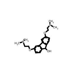 CN(C)CCOc1ccc2c(c1)-c1cc(OCCN(C)C)ccc1C2O